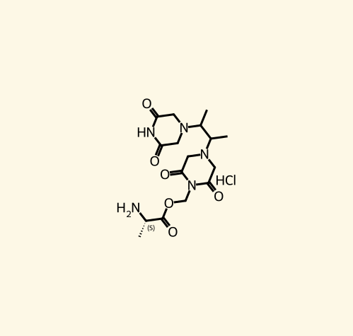 CC(C(C)N1CC(=O)N(COC(=O)[C@H](C)N)C(=O)C1)N1CC(=O)NC(=O)C1.Cl